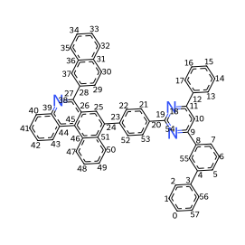 c1ccc(-c2cccc(-c3cc(-c4ccccc4)nc(-c4ccc(-c5cc6c(-c7ccc8ccccc8c7)nc7ccccc7c6c6ccccc56)cc4)n3)c2)cc1